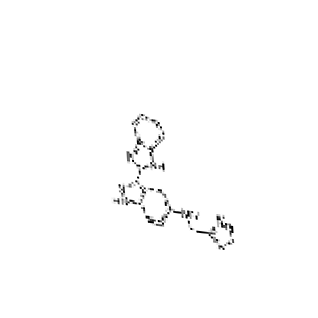 c1ccc2[nH]c(-c3n[nH]c4ccc(NCc5nccs5)cc34)nc2c1